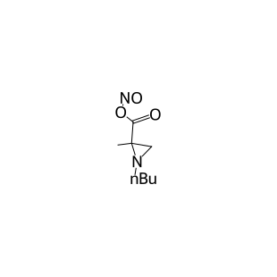 CCCCN1CC1(C)C(=O)ON=O